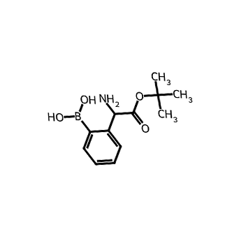 CC(C)(C)OC(=O)C(N)c1ccccc1B(O)O